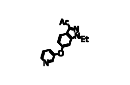 CCn1nc(C(C)=O)c2ccc(Oc3cccnc3)cc21